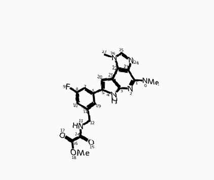 CNc1nc2[nH]c(-c3cc(F)cc(CNC(=O)C(=O)OC)c3)cc2c2c1ncn2C